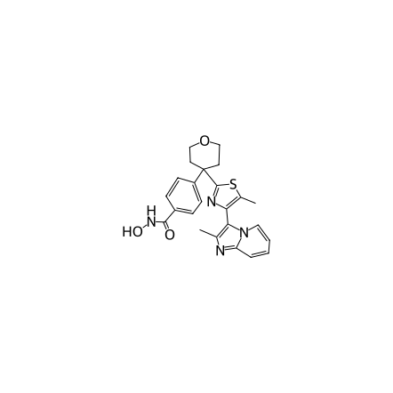 Cc1nc2ccccn2c1-c1nc(C2(c3ccc(C(=O)NO)cc3)CCOCC2)sc1C